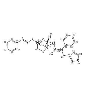 O=C(O[C@H]1C[N+]2(CC=Cc3ccccc3)CCC1CC2)N(Cc1ccsc1)c1ccccc1